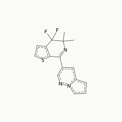 CC1(C)N=C(c2cnn3cccc3c2)c2sccc2C1(F)F